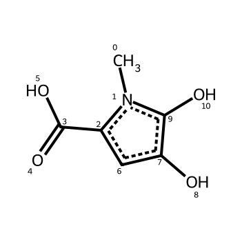 Cn1c(C(=O)O)cc(O)c1O